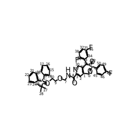 Cc1cc(C(=O)NCOCCO[Si](c2ccccc2)(c2ccccc2)C(C)(C)C)ncc1C(c1cc(F)ccc1F)S(=O)(=O)c1ccc(F)cc1